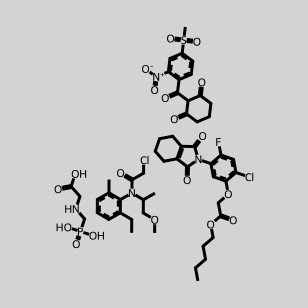 CCCCCOC(=O)COc1cc(N2C(=O)C3=C(CCCC3)C2=O)c(F)cc1Cl.CCc1cccc(C)c1N(C(=O)CCl)C(C)COC.CS(=O)(=O)c1ccc(C(=O)C2C(=O)CCCC2=O)c([N+](=O)[O-])c1.O=C(O)CNCP(=O)(O)O